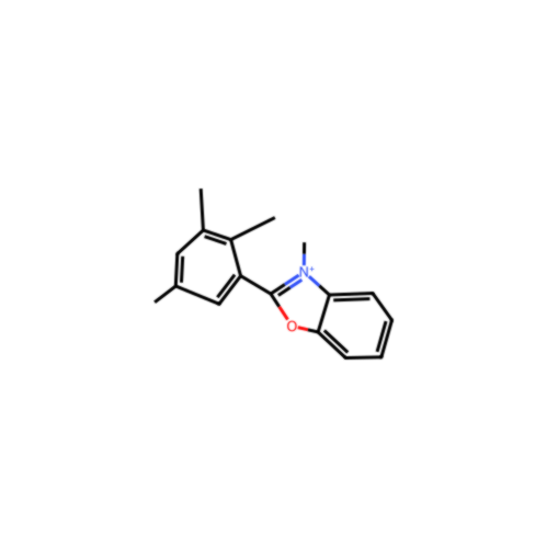 Cc1cc(C)c(C)c(-c2oc3ccccc3[n+]2C)c1